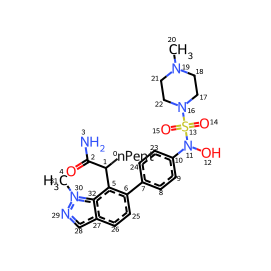 CCCCCC(C(N)=O)c1c(-c2ccc(N(O)S(=O)(=O)N3CCN(C)CC3)cc2)ccc2cnn(C)c12